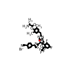 Cc1cc(CC2=NN(CC(OC(=O)C(F)(F)F)(c3ccc(F)cc3F)C(C)c3nc(-c4ccc(C#N)cc4)cs3)C=[N+]2)cc(C)c1OC(=O)C(C)N.[Br-]